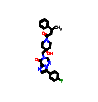 CC(CC(=O)N1CCC(O)(Cn2cnn3c(-c4ccc(F)cc4)cnc3c2=O)CC1)c1ccccc1